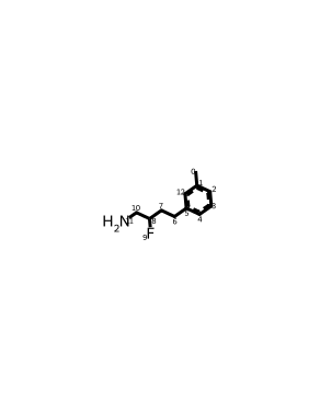 Cc1cccc(CCC(F)CN)c1